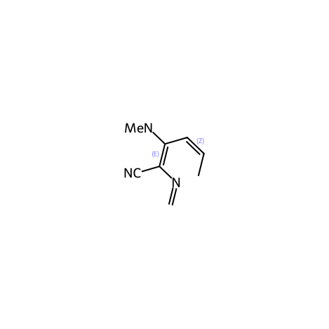 C=N/C(C#N)=C(\C=C/C)NC